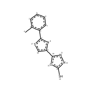 Cc1ccccc1-c1nc(-c2nnc(S)o2)cs1